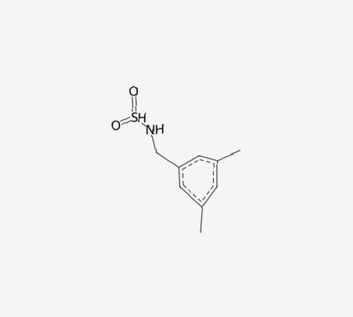 Cc1cc(C)cc(CN[SH](=O)=O)c1